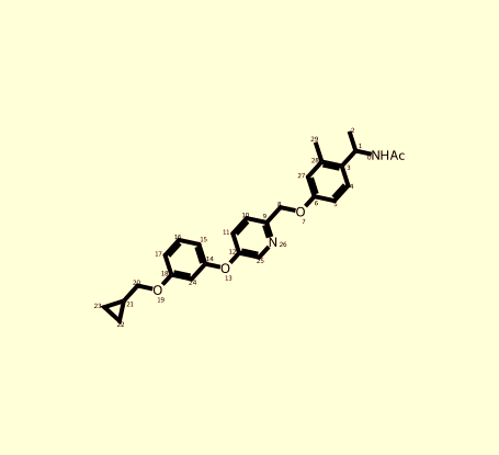 CC(=O)NC(C)c1ccc(OCc2ccc(Oc3cccc(OCC4CC4)c3)cn2)cc1C